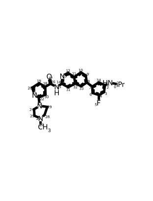 CC(C)Nc1cc(F)cc(-c2ccc3cnc(NC(=O)c4ccnc(N5CCN(C)CC5)c4)cc3c2)c1